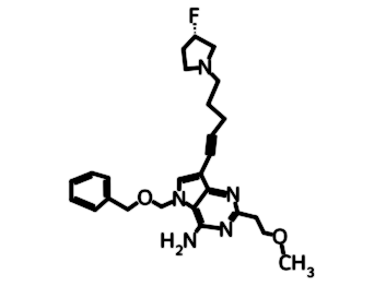 COCCc1nc(N)c2c(n1)c(C#CCCCN1CC[C@H](F)C1)cn2COCc1ccccc1